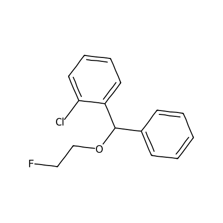 FCCOC(c1ccccc1)c1ccccc1Cl